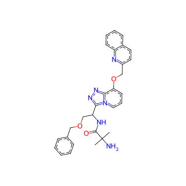 CC(C)(N)C(=O)NC(COCc1ccccc1)c1nnc2c(OCc3ccc4ccccc4n3)cccn12